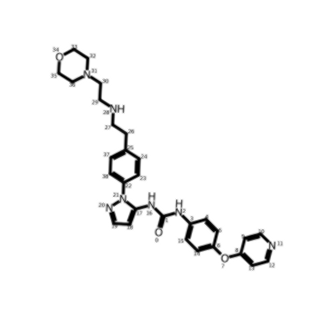 O=C(Nc1ccc(Oc2ccncc2)cc1)Nc1ccnn1-c1ccc(CCNCCN2CCOCC2)cc1